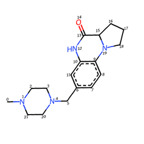 CN1CCN(Cc2ccc3c(c2)NC(=O)C2CCCN32)CC1